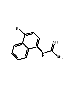 N=C(N)Nc1ccc(Br)c2ccccc12